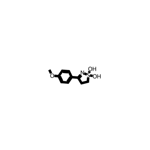 COc1ccc(C2=NS(O)(O)CC2)cc1